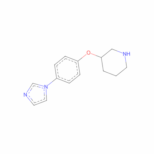 c1cn(-c2ccc(OC3CCCNC3)cc2)cn1